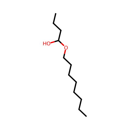 CCCCCCCCOC(O)CCC